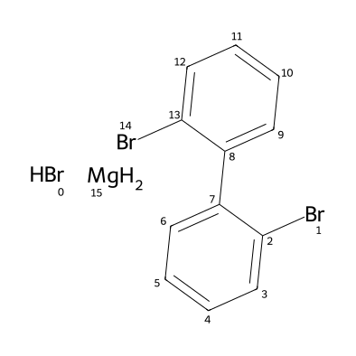 Br.Brc1ccccc1-c1ccccc1Br.[MgH2]